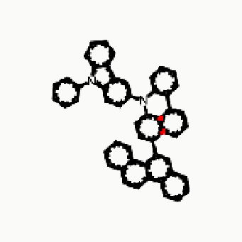 c1ccc(-c2ccccc2N(c2ccc(-c3cc4ccccc4c4ccc5ccccc5c34)cc2)c2ccc3c(c2)c2ccccc2n3-c2ccccc2)cc1